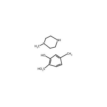 CN1CCNCC1.Cc1ccc(S(=O)(=O)O)c(O)c1